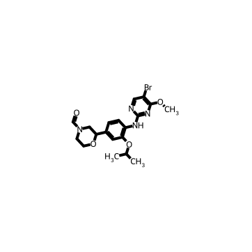 COc1nc(Nc2ccc(C3CN(C=O)CCO3)cc2OC(C)C)ncc1Br